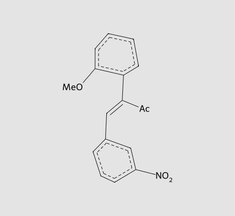 COc1ccccc1C(=Cc1cccc([N+](=O)[O-])c1)C(C)=O